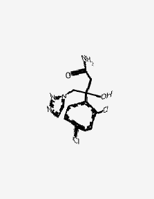 NC(=O)CC(O)(Cn1ccnn1)c1ccc(Cl)cc1Cl